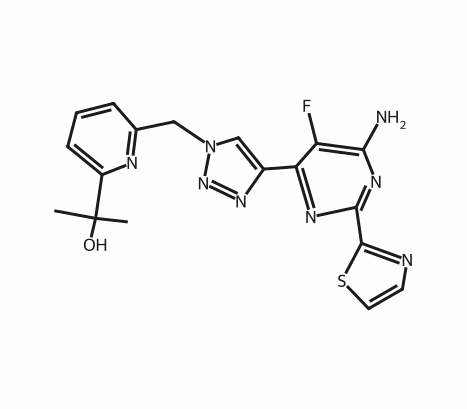 CC(C)(O)c1cccc(Cn2cc(-c3nc(-c4nccs4)nc(N)c3F)nn2)n1